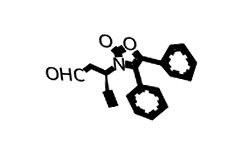 C#C[C@@H](CC=O)n1c(-c2ccccc2)c(-c2ccccc2)oc1=O